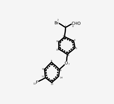 O=CC(Br)c1ccc(Oc2ccc(F)cc2)cc1